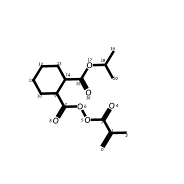 C=C(C)C(=O)OOC(=O)C1CCCCC1C(=O)OC(C)C